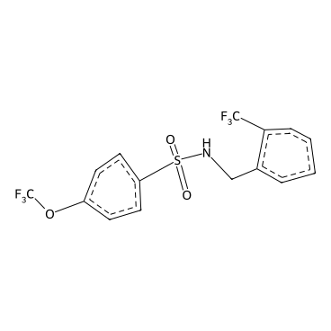 O=S(=O)(NCc1ccccc1C(F)(F)F)c1ccc(OC(F)(F)F)cc1